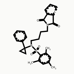 Cc1cc(C)c(S(=O)(=O)N(CCCCN2C(=O)c3ccccc3C2=O)C2(c3ccccc3)CC2)c(C)c1